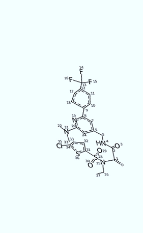 C=C(C(=O)NCc1cc(-c2ccc(C(F)(F)F)cc2)nc(N(C)C)c1)N(CC)S(=O)(=O)c1ccc(Cl)s1